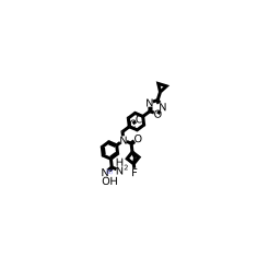 N/C(=N\O)c1cccc(N(CC23CCC(c4nc(C5CC5)no4)(CC2)CC3)C(=O)C23CC(F)(C2)C3)c1